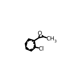 CC1OC1c1ccccc1Cl